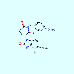 COc1ccc(CN2C(=O)CC[C@@H](n3c(=O)n(C)c4c(Br)c(OC)ccc43)C2=O)cc1